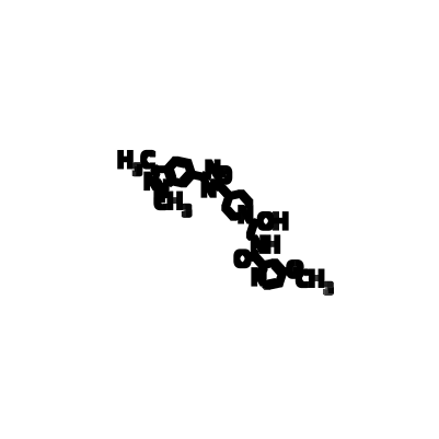 COc1ccnc(C(=O)NCC(O)N2CCC(c3nc(-c4ccc5c(C)nn(C)c5c4)no3)CC2)c1